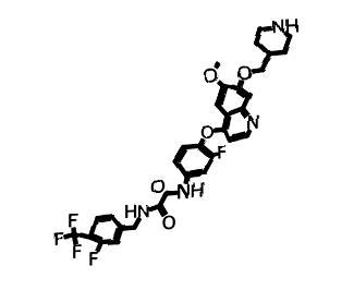 COc1cc2c(Oc3ccc(NC(=O)C(=O)NCc4ccc(C(F)(F)F)c(F)c4)cc3F)ccnc2cc1OCC1CCNCC1